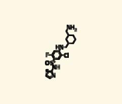 NCC1CCCC(CNc2cc(F)c([S+]([O-])Nc3nccs3)cc2Cl)C1